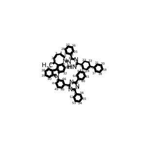 C=C1/C=C\C=C/N(N/C(=N\C(=N)C2=CC=C(c3ccccc3)CC2)c2ccccc2)c2ccc3c(c21)c1ccccc1n3-c1cccc(-c2nc(-c3ccccc3)nc(-c3ccccc3)n2)c1